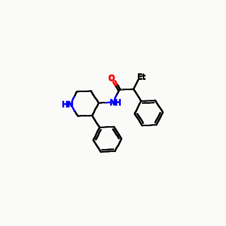 CCC(C(=O)NC1CCNCC1c1ccccc1)c1ccccc1